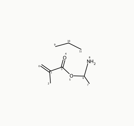 C=C(C)C(=O)OC(C)N.CCC